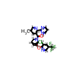 Cc1cnc(-c2ncccn2)c(C(=O)N2CC3CCC2C(Oc2ncc(C(F)(F)F)cc2Cl)C3)c1